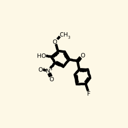 COc1cc(C(=O)c2ccc(F)cc2)cc([N+](=O)[O-])c1O